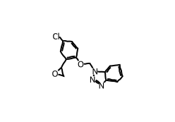 Clc1ccc(OCn2nnc3ccccc32)c(C2CO2)c1